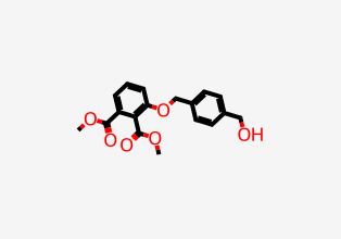 COC(=O)c1cccc(OCc2ccc(CO)cc2)c1C(=O)OC